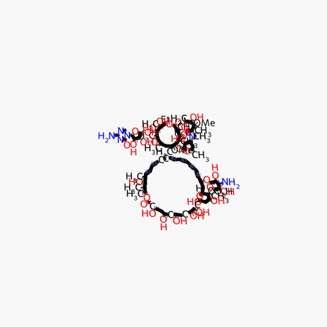 CC[C@H]1OC(=O)[C@H](C)[C@@H](O[C@H]2C[C@@](C)(OC)[C@@H](O)[C@H](C)O2)[C@H](C)[C@@H](O[C@@H]2O[C@H](C)C[C@H](N(C)C)[C@H]2O)[C@](C)(OC)C[C@@H](C)C(=O)[C@H](C)[C@@H](O)[C@]1(C)O.C[C@@H]1[C@H](O)[C@@H](C)/C=C/C=C/CC/C=C/C=C/C=C/C=C/[C@H](O[C@@H]2O[C@H](C)[C@@H](O)[C@H](N)[C@@H]2O)C[C@@H]2O[C@](O)(C[C@@H](O)[C@H](O)CC[C@@H](O)C[C@@H](O)C[C@@H](O)CC(=O)O[C@H]1C)C[C@H](O)[C@H]2C(=O)O.Nc1ncn([C@@H]2O[C@H](CO)[C@@H](O)[C@H]2O)c(=O)n1